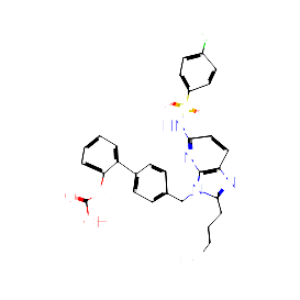 CCCCc1nc2ccc(NS(=O)(=O)c3ccc(Cl)cc3)nc2n1Cc1ccc(-c2ccccc2OC(=O)O)cc1